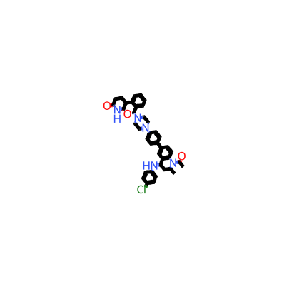 CC(=O)N1c2ccc(-c3ccc(N4CCN(Cc5ccccc5C5CCC(=O)NC5=O)CC4)cc3)cc2C(Nc2ccc(Cl)cc2)CC1C